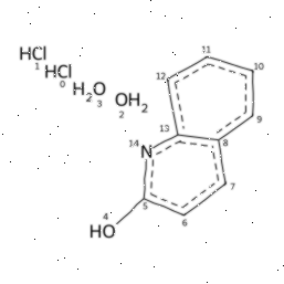 Cl.Cl.O.O.Oc1ccc2ccccc2n1